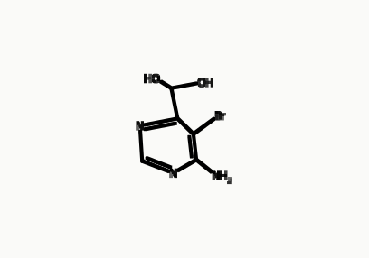 Nc1ncnc(C(O)O)c1Br